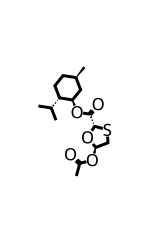 CC(=O)O[C@@H]1CS[C@@H](C(=O)O[C@@H]2C[C@H](C)CC[C@H]2C(C)C)O1